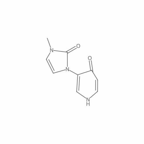 Cn1ccn(-c2c[nH]ccc2=O)c1=O